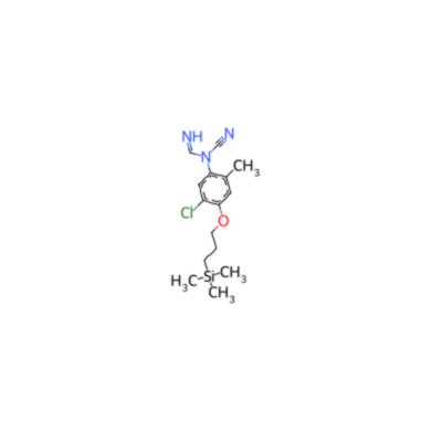 Cc1cc(OCCC[Si](C)(C)C)c(Cl)cc1N(C#N)C=N